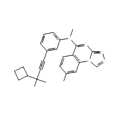 CN(c1cccc(C#CC(C)(O)C2CCC2)c1)c1nc2nncn2c2cc(Cl)ccc12